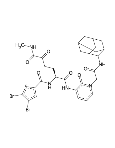 CNC(=O)C(=O)CC[C@H](NC(=O)c1cc(Br)c(Br)s1)C(=O)Nc1cccn(CC(=O)NC2C3CC4CC(C3)CC2C4)c1=O